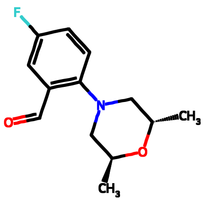 C[C@H]1CN(c2ccc(F)cc2C=O)C[C@H](C)O1